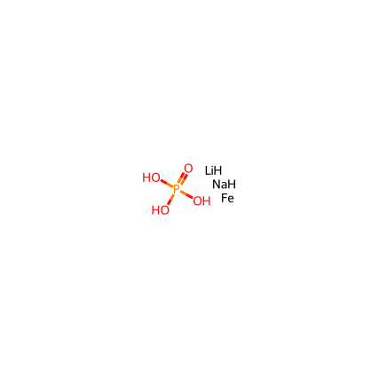 O=P(O)(O)O.[Fe].[LiH].[NaH]